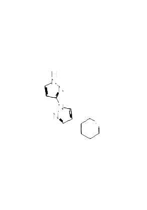 c1cc(-n2cc([C@H]3CCCOC3)cn2)n[nH]1